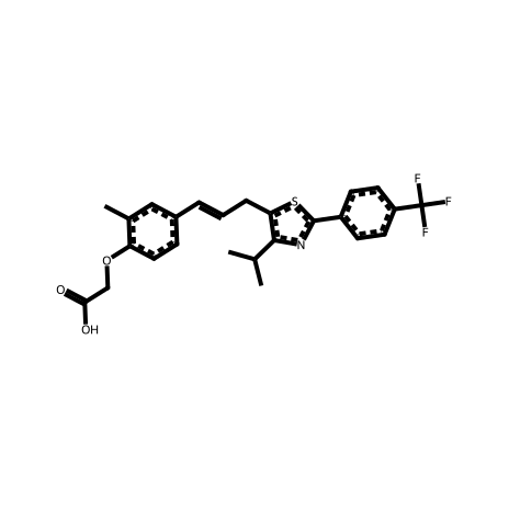 Cc1cc(C=CCc2sc(-c3ccc(C(F)(F)F)cc3)nc2C(C)C)ccc1OCC(=O)O